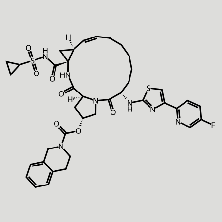 O=C1N[C@]2(C(=O)NS(=O)(=O)C3CC3)C[C@H]2/C=C\CCCCC[C@H](Nc2nc(-c3ccc(F)cn3)cs2)C(=O)N2C[C@H](OC(=O)N3CCc4ccccc4C3)C[C@@H]12